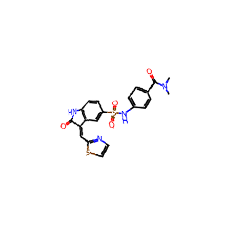 CN(C)C(=O)c1ccc(NS(=O)(=O)c2ccc3c(c2)/C(=C\c2nccs2)C(=O)N3)cc1